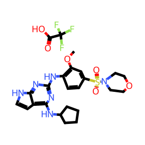 COc1cc(S(=O)(=O)N2CCOCC2)ccc1Nc1nc(NC2CCCC2)c2cc[nH]c2n1.O=C(O)C(F)(F)F